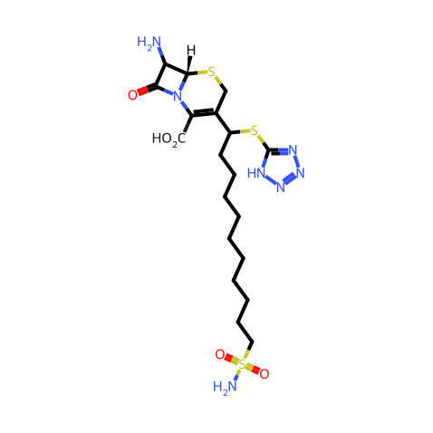 NC1C(=O)N2C(C(=O)O)=C(C(CCCCCCCCCCS(N)(=O)=O)Sc3nnn[nH]3)CS[C@@H]12